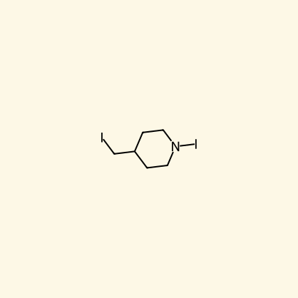 ICC1CCN(I)CC1